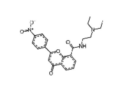 CCN(CC)CCNC(=O)c1cccc2c(=O)cc(-c3ccc([N+](=O)[O-])cc3)oc12